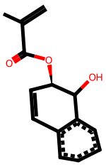 C=C(C)C(=O)O[C@@H]1C=Cc2ccccc2C1O